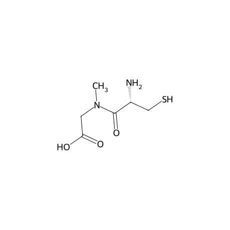 CN(CC(=O)O)C(=O)[C@H](N)CS